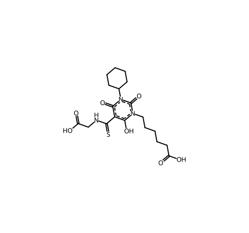 O=C(O)CCCCCn1c(O)c(C(=S)NCC(=O)O)c(=O)n(C2CCCCC2)c1=O